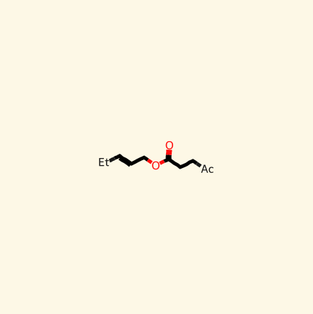 CCC=CCOC(=O)CCC(C)=O